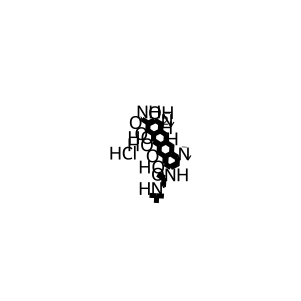 CN(C)c1cc(NC(=O)CNC(C)(C)C)c(O)c2c1C[C@H]1C[C@H]3[C@H](N(C)C)C(O)=C(C(N)=O)C(=O)[C@@]3(O)C(O)=C1C2=O.Cl